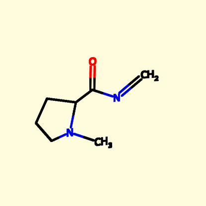 C=NC(=O)C1CCCN1C